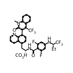 CC[C@@H](Nc1cc(F)c(C(=O)N[C@@H](Cc2ccc(-c3c(C(F)(F)F)c4ccccc4n(C)c3=O)c3ncccc23)C(=O)O)c(F)c1)C(F)(F)F